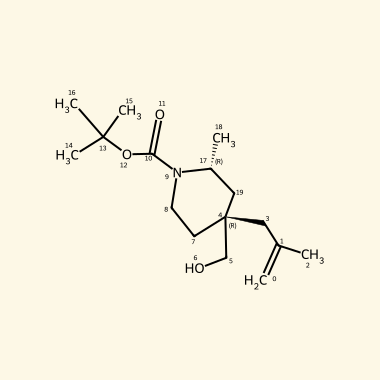 C=C(C)C[C@@]1(CO)CCN(C(=O)OC(C)(C)C)[C@H](C)C1